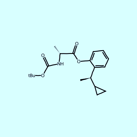 C[C@@H](NC(=O)OC(C)(C)C)C(=O)Oc1ccccc1[C@H](C)C1CC1